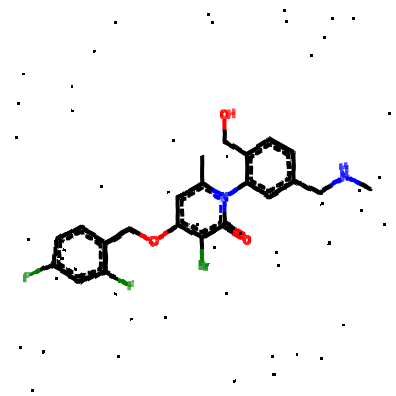 CNCc1ccc(CO)c(-n2c(C)cc(OCc3ccc(F)cc3F)c(Br)c2=O)c1